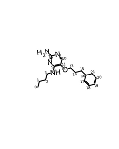 CCCCNc1nc(N)ncc1OCCCC1C=CC=CC1